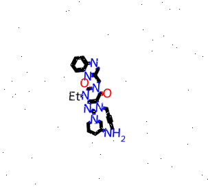 CC#CCn1c(N2CCCC(N)C2)nc2c1c(=O)n(Cc1cnc3ccccc3n1)c(=O)n2CC